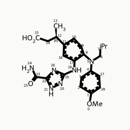 COc1ccc(N(CC(C)C)c2ccc([C@H](C)CC(=O)O)cc2Nc2n[nH]c(C(N)=O)n2)cc1